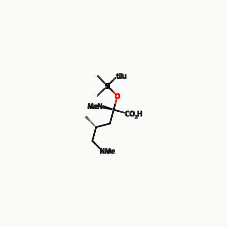 CNC[C@H](C)C[C@](NC)(O[Si](C)(C)C(C)(C)C)C(=O)O